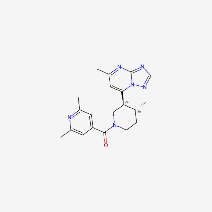 Cc1cc(C(=O)N2CC[C@@H](C)[C@H](c3cc(C)nc4ncnn34)C2)cc(C)n1